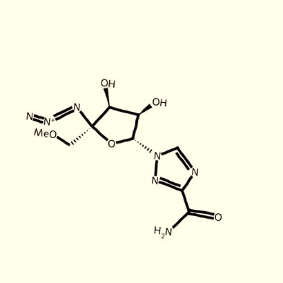 COC[C@@]1(N=[N+]=[N-])O[C@@H](n2cnc(C(N)=O)n2)[C@H](O)[C@@H]1O